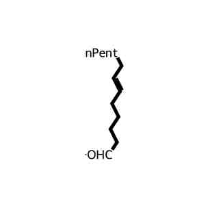 CCCCCCC=CCCCC[C]=O